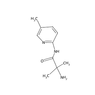 Cc1ccc(NC(=O)C(C)(C)N)nc1